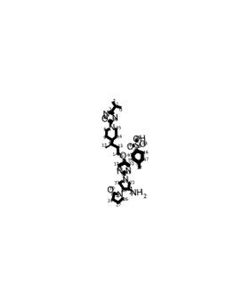 CC(C)c1noc(N2CCC([C@H](C)CCOc3cnc(N4C[C@H](N)[C@@H](N5CCCC5=O)C4)nc3)CC2)n1.Cc1ccc(S(=O)(=O)O)cc1